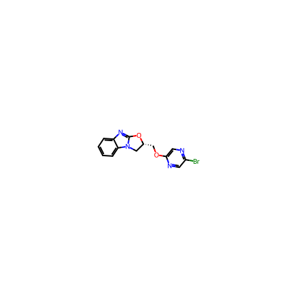 Brc1cnc(OC[C@@H]2Cn3c(nc4ccccc43)O2)cn1